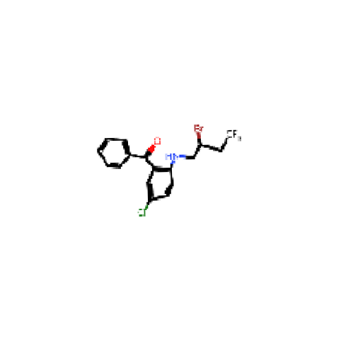 O=C(c1ccccc1)c1cc(Cl)ccc1NCC(Br)CC(F)(F)F